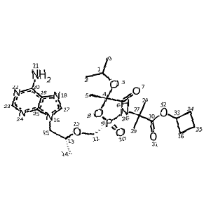 CC(C)O[C@](C)(C=O)O[P@@](=O)(CO[C@H](C)Cn1cnc2c(N)ncnc21)NC(C)(C)C(=O)OC1CCC1